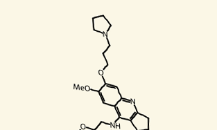 CCOCCNc1c2c(nc3cc(OCCCN4CCCC4)c(OC)cc13)CCC2(C(=O)O)C(=O)O